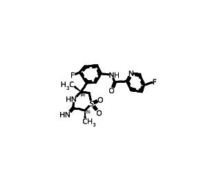 C[C@H]1C(=N)N[C@](C)(c2cc(NC(=O)c3ccc(F)cn3)ccc2F)CS1(=O)=O